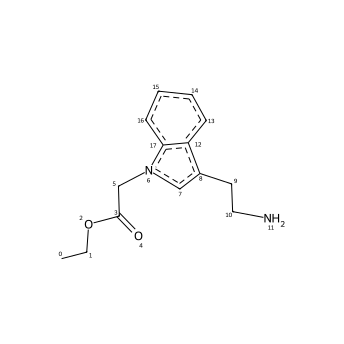 CCOC(=O)Cn1cc(CCN)c2ccccc21